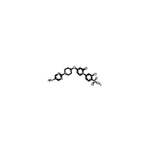 CCCc1cnc(N2CCC(Oc3ccn(-c4ccc(S(C)(=O)=O)c(Cl)c4)c(=O)c3)CC2)nc1